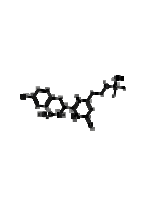 CC(C)(C)[Si](C)(C)OCCc1cc(=O)[nH]c(C(Cc2ccc(Cl)cc2)NC(=O)O)n1